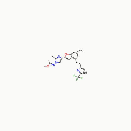 CCc1cc(CCC2=CBC(C(F)(F)F)=N2)c2cc(-c3cn(/N=C(\C)OC)c(C)n3)oc2c1